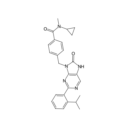 CC(C)c1ccccc1-c1ncc2[nH]c(=O)n(Cc3ccc(C(=O)N(C)C4CC4)cc3)c2n1